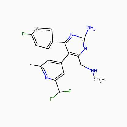 Cc1cc(-c2c(CNC(=O)O)nc(N)nc2-c2ccc(F)cc2)cc(C(F)F)n1